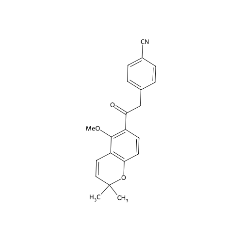 COc1c(C(=O)Cc2ccc(C#N)cc2)ccc2c1C=CC(C)(C)O2